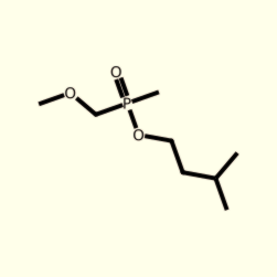 COCP(C)(=O)OCCC(C)C